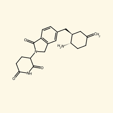 C=C1CC[C@H](N)[C@@H](Cc2ccc3c(c2)CN(C2CCC(=O)NC2=O)C3=O)C1